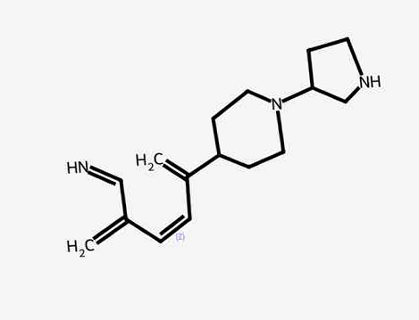 C=C(C=N)/C=C\C(=C)C1CCN(C2CCNC2)CC1